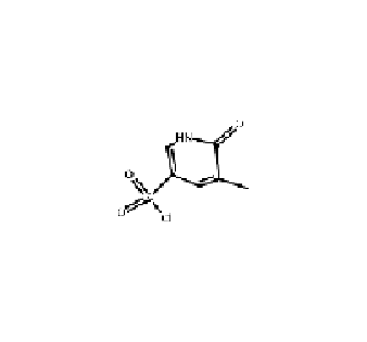 Cc1cc(S(=O)(=O)Cl)c[nH]c1=O